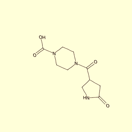 O=C1CC(C(=O)N2CCN(C(=O)O)CC2)CN1